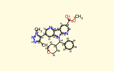 COC(=O)c1cnc2c(c1)c1ncc(-c3c(C)nnn3C)cc1n2C(c1ccccc1)C1CCOCC1